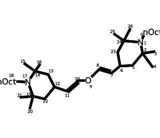 CCCCCCCCN1C(C)(C)CC(C=COC=CC2CC(C)(C)N(CCCCCCCC)C(C)(C)C2)CC1(C)C